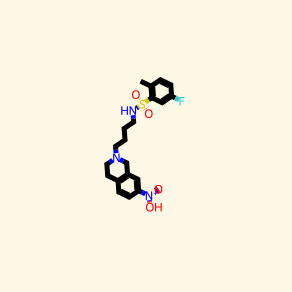 Cc1ccc(F)cc1S(=O)(=O)NCCCCN1CCc2ccc([N+](=O)O)cc2C1